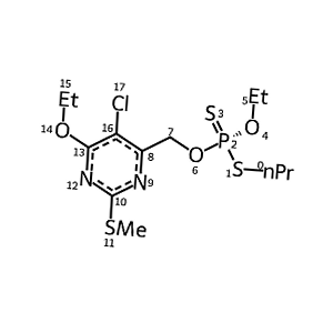 CCCS[P@@](=S)(OCC)OCc1nc(SC)nc(OCC)c1Cl